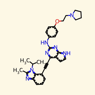 Cc1nc2cccc(C#Cc3nc(Nc4ccc(OCCN5CCCC5)cc4)nc4[nH]ccc34)c2n1C(C)C